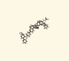 CN(C)CC[C@H](CSc1ccccc1)Nc1ccc(S(=O)(=O)Nc2ncnc3cc(N4CCN(Cc5cc(Cl)ccc5-c5ccccc5)CC4)ccc23)cc1[N+](=O)[O-]